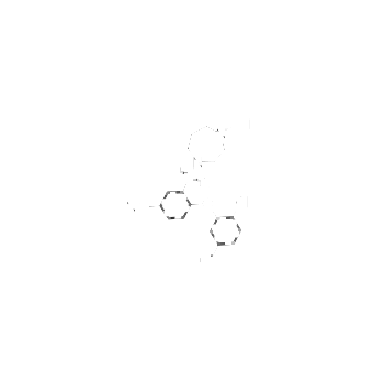 CN1CCCN(S(=O)(=O)c2cc(C#N)ccc2Oc2cc(Cl)ccc2Cl)CC1